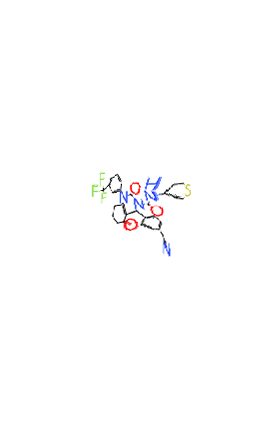 N#Cc1ccc(C2C3=C(CCCC3=O)N(c3cccc(C(F)(F)F)c3)C(=O)N2C(=O)NC2CCSCC2)cc1